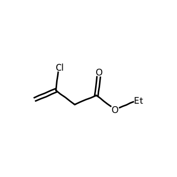 C=C(Cl)CC(=O)OCC